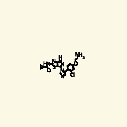 NCCOc1ccc(-c2cncn2-c2n[nH]c3nc(NC(=O)C4CC4)sc23)c(Cl)c1